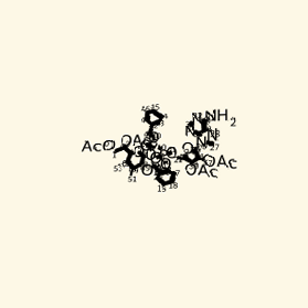 CC(=O)OC[C@@H](OC(C)=O)C1OC(OP(=O)(CP(=O)(OCc2ccccc2)OC[C@H]2O[C@@H](n3cnc4c(N)ncnc43)[C@@H](OC(C)=O)C2OC(C)=O)OCc2ccccc2)C(OC(C)=O)[C@@H](C)[C@@H]1C